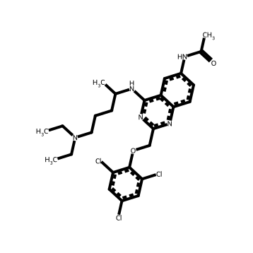 CCN(CC)CCCC(C)Nc1nc(COc2c(Cl)cc(Cl)cc2Cl)nc2ccc(NC(C)=O)cc12